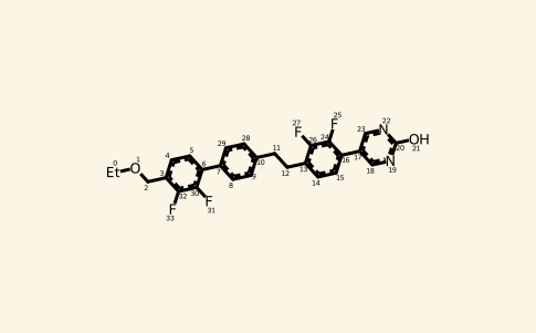 CCOCc1ccc(-c2ccc(CCc3ccc(-c4cnc(O)nc4)c(F)c3F)cc2)c(F)c1F